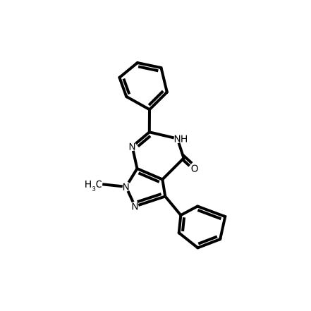 Cn1nc(-c2ccccc2)c2c(=O)[nH]c(-c3ccccc3)nc21